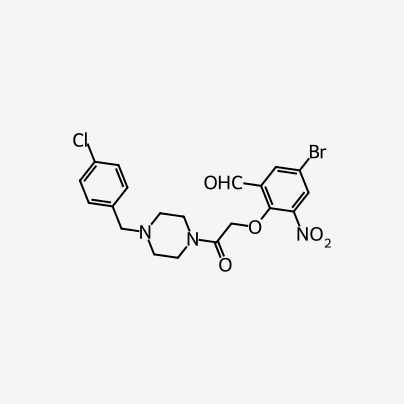 O=Cc1cc(Br)cc([N+](=O)[O-])c1OCC(=O)N1CCN(Cc2ccc(Cl)cc2)CC1